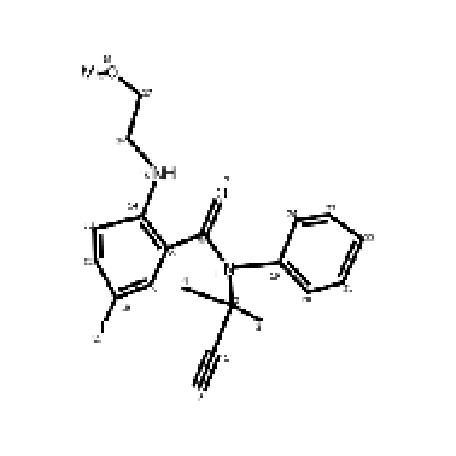 C#CC(C)(C)N(C(=O)c1cc(I)ccc1NCCOC)c1ccccc1